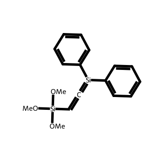 CO[Si](C=C=[Si](c1ccccc1)c1ccccc1)(OC)OC